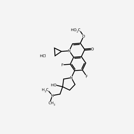 CN(C)CC1(O)CCN(c2c(F)cc3c(=O)c(OC(=O)O)cn(C4CC4)c3c2F)C1.Cl